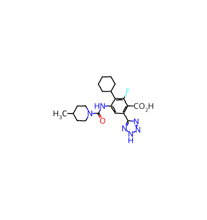 CC1CCN(C(=O)Nc2cc(-c3nn[nH]n3)c(C(=O)O)c(F)c2C2CCCCC2)CC1